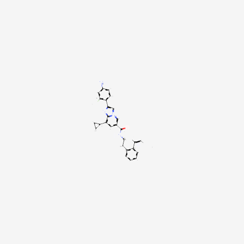 C/C=C(/C)c1ccccc1CCNC(=O)c1cc(C2CC2)c2nc(-c3ccc(N)cc3F)cn2c1